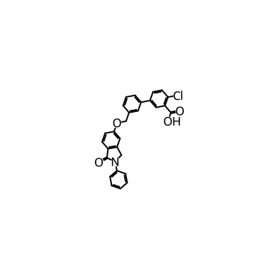 O=C(O)c1cc(-c2cccc(COc3ccc4c(c3)CN(c3ccccc3)C4=O)c2)ccc1Cl